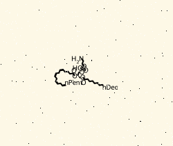 CCCCC/C=C\C/C=C\C/C=C\C/C=C\CCCC(=O)O[C@H](COC(=O)CCCCCCCCCCCCCCCCC)COP(=O)(O)OCCN